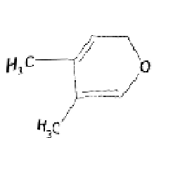 CC1=CCOC=C1C